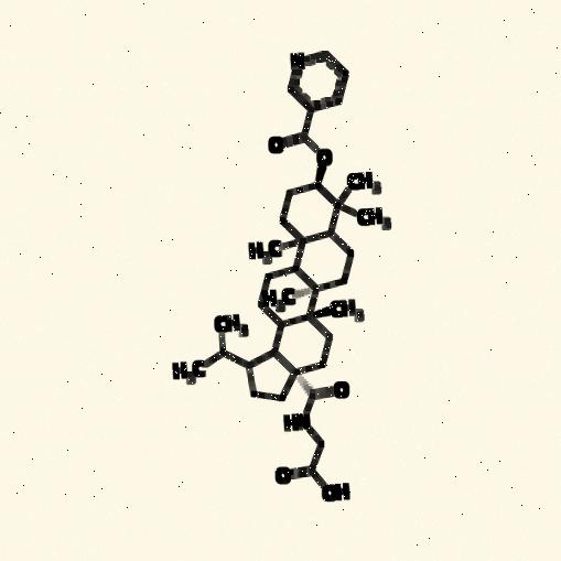 CC(C)C1CC[C@]2(C(=O)NCC(=O)O)CC[C@]3(C)C(CCC4C5(C)CC[C@@H](OC(=O)c6cccnc6)C(C)(C)C5CC[C@]43C)C12